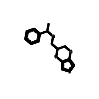 CC(OCC1COc2cscc2O1)c1ccccc1